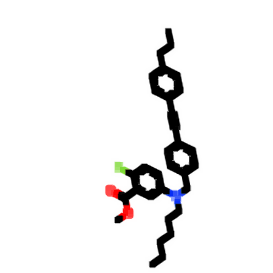 CCCCCCN(Cc1ccc(C#Cc2ccc(CCC)cc2)cc1)c1ccc(F)c(C(=O)OC)c1